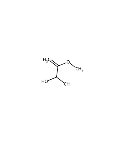 C=C(OC)C(C)O